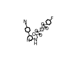 N#Cc1ccc(-c2cncc3c2OC(S(=O)(=O)C2CN(S(=O)(=O)c4ccc(F)cc4)C2)CN3)cc1